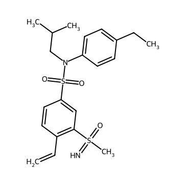 C=Cc1ccc(S(=O)(=O)N(CC(C)C)c2ccc(CC)cc2)cc1S(C)(=N)=O